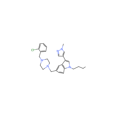 CCCCn1cc(-c2cnn(C)c2)c2cc(CN3CCN(Cc4ccccc4Cl)CC3)ccc21